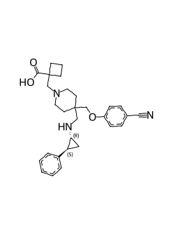 N#Cc1ccc(OCC2(CN[C@@H]3C[C@H]3c3ccccc3)CCN(CC3(C(=O)O)CCC3)CC2)cc1